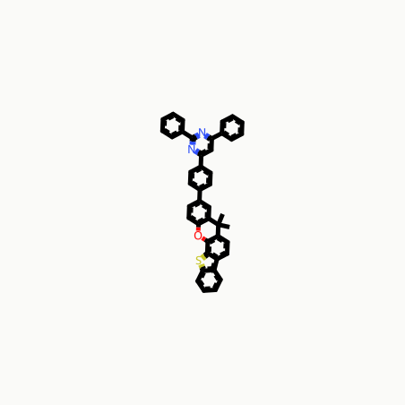 CC1(C)c2cc(-c3ccc(-c4cc(-c5ccccc5)nc(-c5ccccc5)n4)cc3)ccc2Oc2c1ccc1c2sc2ccccc21